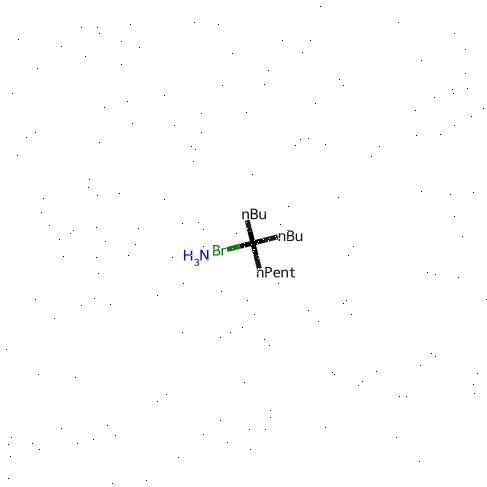 CCCCCC(Br)(CCCC)CCCC.N